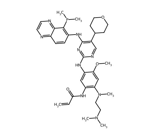 C=CC(=O)Nc1cc(Nc2ncc(C3CCOCC3)c(Nc3ccc4nccnc4c3P(C)C)n2)c(OC)cc1N(C)CCN(C)C